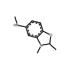 CNc1ccc2c(c1)N(C)C(C)O2